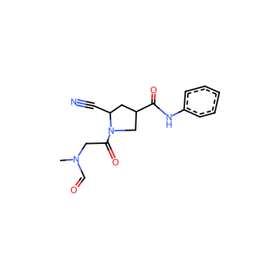 CN(C=O)CC(=O)N1CC(C(=O)Nc2ccccc2)CC1C#N